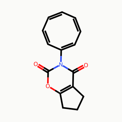 O=c1oc2c(c(=O)n1C1=CC=CC=CC=C1)CCC2